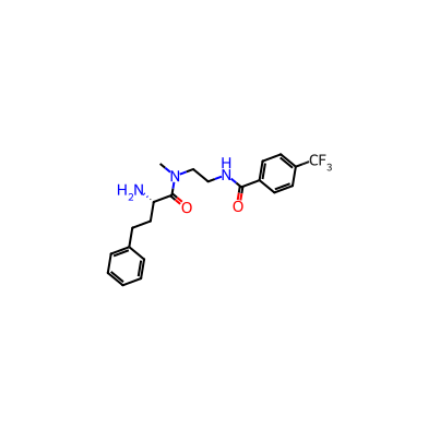 CN(CCNC(=O)c1ccc(C(F)(F)F)cc1)C(=O)[C@@H](N)CCc1ccccc1